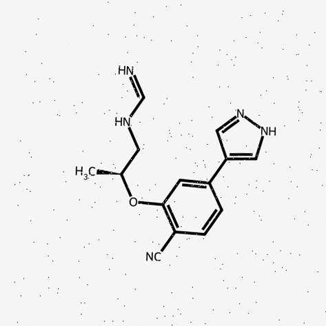 C[C@@H](CNC=N)Oc1cc(-c2cn[nH]c2)ccc1C#N